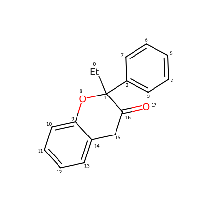 CCC1(c2ccccc2)Oc2ccccc2CC1=O